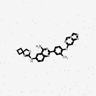 Cc1cc(-c2nc(N)c3cc(NC4=NC5(CCC5)CO4)ccc3n2)ccc1Oc1cc2nncn2cn1